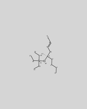 CCCC[C@](C)(C/C=C/I)O[Si](CC)(CC)CC